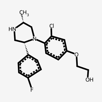 C[C@@H]1CN(c2ccc(OCCO)cc2Cl)[C@H](c2ccc(F)cc2)CN1